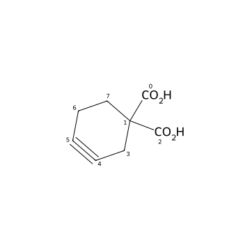 O=C(O)C1(C(=O)O)CC#CCC1